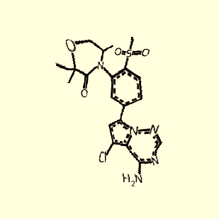 CC1COC(C)(C)C(=O)N1c1cc(-c2cc(Cl)c3c(N)ncnn23)ccc1S(C)(=O)=O